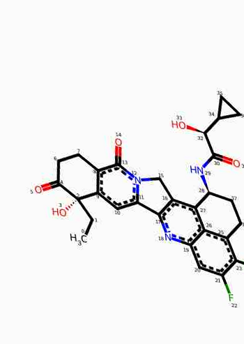 CC[C@@]1(O)C(=O)CCc2c1cc1n(c2=O)Cc2c-1nc1cc(F)c(Cl)c3c1c2[C@@H](NC(=O)[C@@H](O)C1CC1)CC3